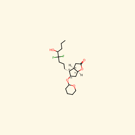 CCCC(O)C(F)(F)CCC[C@@H]1[C@H]2CC(=O)O[C@H]2C[C@H]1OC1CCCCO1